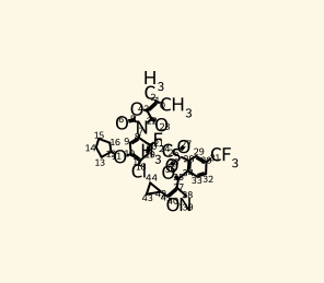 CC(C)=C1OC(=O)N(c2cc(OC3CCCC3)c(Cl)cc2F)C1=O.CS(=O)(=O)c1cc(C(F)(F)F)ccc1C(=O)c1cnoc1C1CC1